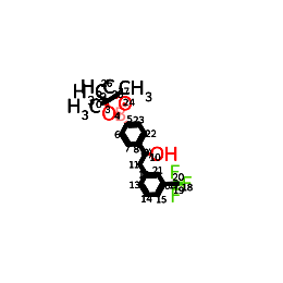 CC1(C)OB(c2ccc([C@@H](O)Cc3cccc(C(F)(F)F)c3)cc2)OC1(C)C